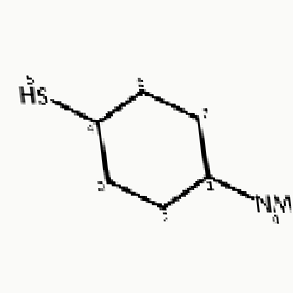 CNC1CCC(S)CC1